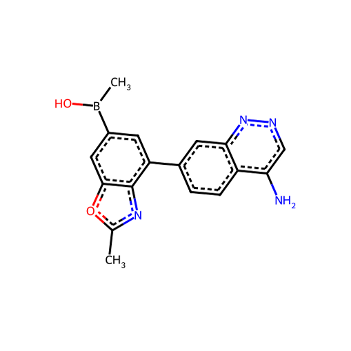 CB(O)c1cc(-c2ccc3c(N)cnnc3c2)c2nc(C)oc2c1